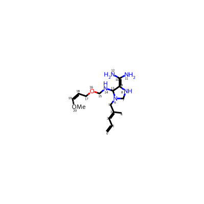 C=C/C=C(\C)CN1CNC(=C(N)N)C1NCOC/C=C\OC